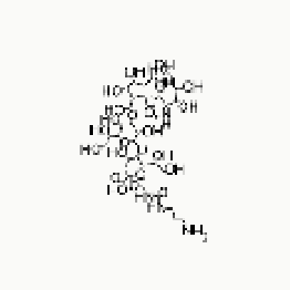 CC(=O)NC1[C@@H](OC2C([C@H](O)OC3[C@H](O)C([C@@H](O)CO)O[C@H](O[C@H]4C([C@H](O)CO)O[C@@](OCNC(=O)NCCCN)(C(=O)O)C[C@H]4O)[C@@H]3O)C(O)[C@H](O)[C@@H]2[C@@H](O)CO)OC(CO)[C@@H](O)[C@H]1O